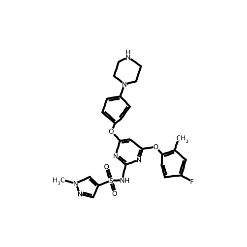 Cc1cc(F)ccc1Oc1cc(Oc2ccc(N3CCNCC3)cc2)nc(NS(=O)(=O)c2cnn(C)c2)n1